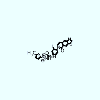 Cc1ccc(S(=O)(=O)NC(=O)Nc2ccc(-n3ccc4cc5ncsc5cc4c3=O)c(I)c2)s1